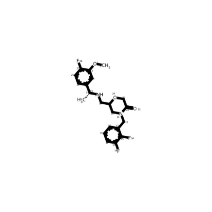 COc1cc([C@@H](C)NCC2CN(Cc3cccc(F)c3F)C(=O)CO2)ccc1F